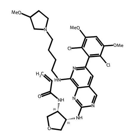 C=CC(=O)N[C@H]1COC[C@H]1Nc1ncc2cc(-c3c(Cl)c(OC)cc(OC)c3Cl)nc(NCCCCN3CCC(OC)C3)c2n1